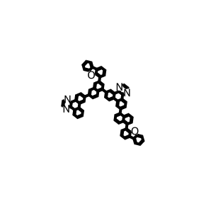 c1ccc2c(c1)oc1c(-c3cc(-c4ccc5c6cc(-c7cccc8c(-c9cccc%10c9oc9ccccc9%10)cccc78)ccc6c6nccnc6c5c4)c4ccc(-c5ccc6c(c5)c5ccccc5c5nccnc65)cc4c3)cccc12